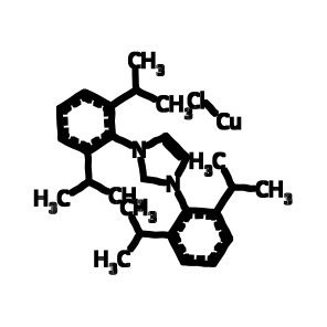 CC(C)c1cccc(C(C)C)c1N1C=CN(c2c(C(C)C)cccc2C(C)C)C1.[Cl][Cu]